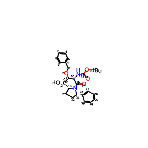 C[C@@H](OCc1ccccc1)[C@H](NC(=O)OC(C)(C)C)C(=O)N1[C@@H](C(=O)O)CC[C@H]1c1ccccc1